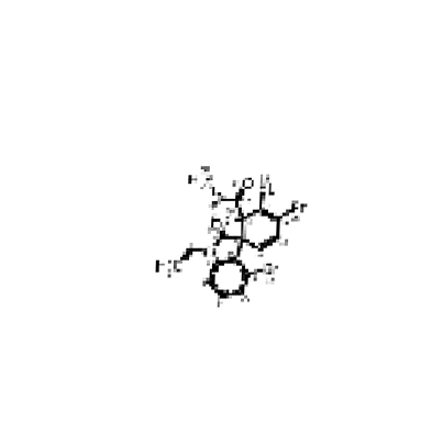 C=COC(=O)C1(c2ccccc2Br)C=CC(CC)=C(CC)C1(C(=O)OP)C(F)(F)F